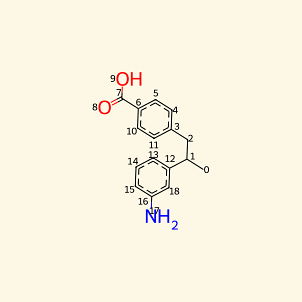 CC(Cc1ccc(C(=O)O)cc1)c1cccc(N)c1